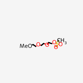 COCCOCCOCCOS(C)(=O)=O